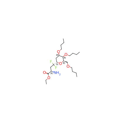 CCCCOC[C@H]1O[C@H](C(F)(F)C[C@@H](N)C(=O)OCC)C[C@@H](OCCCC)[C@H]1OCCCC